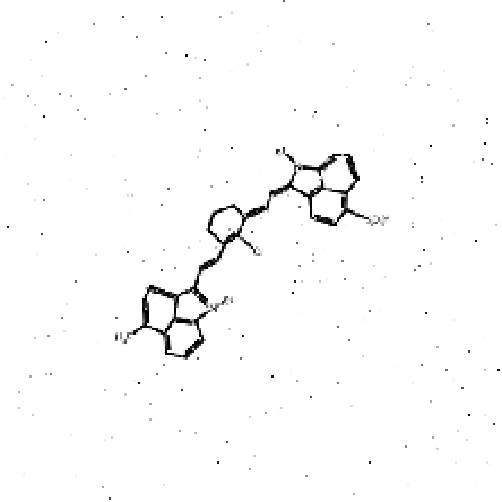 CCn1/c(=C/C=C2\CCCC(/C=C/C3=[N+](CC)c4cccc5c(C)ccc3c45)=C2Cl)c2ccc(S(=O)(=O)O)c3cccc1c32